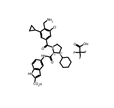 NCc1c(Cl)cc(C(=O)N2CC[C@@H](C3CCCCC3)[C@H]2C(=O)Nc2ccc3[nH]c(C(=O)O)cc3c2)cc1C1CC1.O=C(O)C(F)(F)F